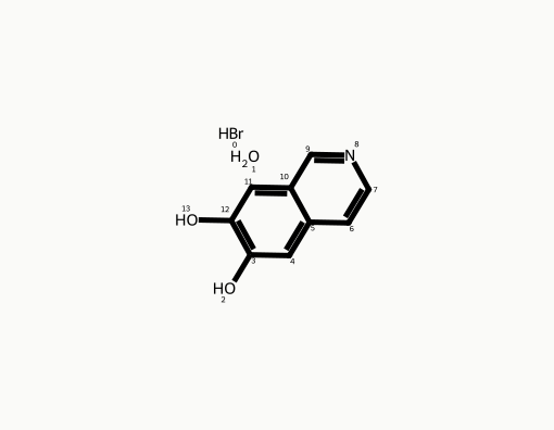 Br.O.Oc1cc2ccncc2cc1O